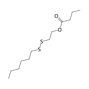 CCCCCCSSCCOC(=O)CCC